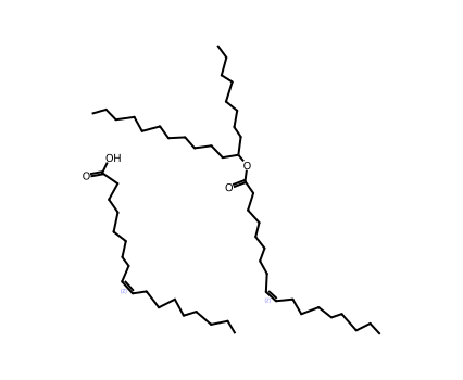 CCCCCCCC/C=C\CCCCCCCC(=O)O.CCCCCCCC/C=C\CCCCCCCC(=O)OC(CCCCCCCC)CCCCCCCCCCC